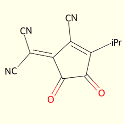 CC(C)C1=C(C#N)C(=C(C#N)C#N)C(=O)C1=O